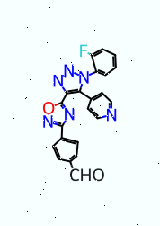 O=Cc1ccc(-c2noc(-c3nnn(-c4ccccc4F)c3-c3ccncc3)n2)cc1